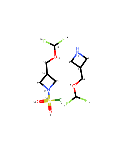 FC(F)OCC1CNC1.O=S(=O)(Cl)N1CC(COC(F)F)C1